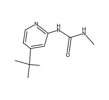 CNC(=O)Nc1cc(C(C)(C)C)ccn1